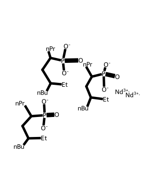 CCCCC(CC)CC(CCC)P(=O)([O-])[O-].CCCCC(CC)CC(CCC)P(=O)([O-])[O-].CCCCC(CC)CC(CCC)P(=O)([O-])[O-].[Nd+3].[Nd+3]